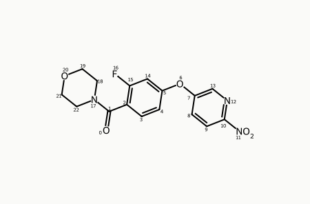 O=C(c1ccc(Oc2ccc([N+](=O)[O-])nc2)cc1F)N1CCOCC1